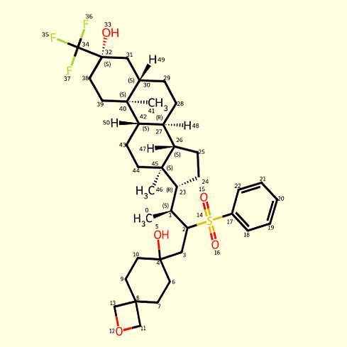 C[C@H](C(CC1(O)CCC2(CC1)COC2)S(=O)(=O)c1ccccc1)[C@H]1CC[C@H]2[C@@H]3CC[C@H]4C[C@](O)(C(F)(F)F)CC[C@]4(C)[C@H]3CC[C@]12C